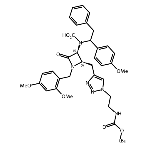 COc1ccc(C(Cc2ccccc2)N(C(=O)O)[C@@H]2C(=O)N(Cc3ccc(OC)cc3OC)[C@@H]2Cc2cn(CCNC(=O)OC(C)(C)C)nn2)cc1